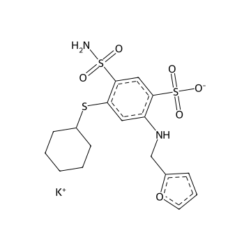 NS(=O)(=O)c1cc(S(=O)(=O)[O-])c(NCc2ccco2)cc1SC1CCCCC1.[K+]